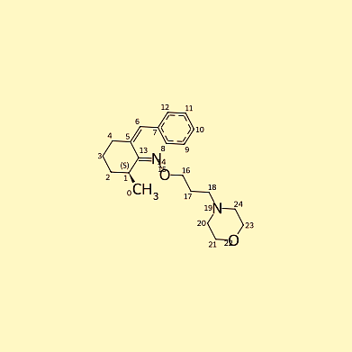 C[C@H]1CCCC(=Cc2ccccc2)C1=NOCCCN1CCOCC1